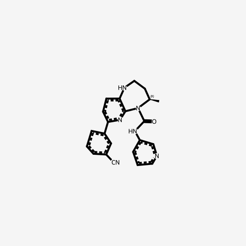 C[C@@H]1CCNc2ccc(-c3cccc(C#N)c3)nc2N1C(=O)Nc1cccnc1